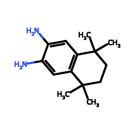 CC1(C)CCC(C)(C)c2cc(N)c(N)cc21